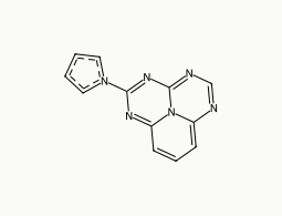 C1=CC2=NC(n3cccc3)=NC3=NC=NC(=C1)N23